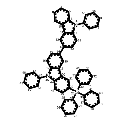 c1ccc(-n2c3ccccc3c3cc(-c4ccc5c(c4)c4cc([Si](c6ccccc6)(c6ccccc6)c6ccccc6)ccc4n5-c4ccccc4)ccc32)cc1